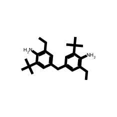 CCc1cc(Cc2cc(CC)c(N)c(C(C)(C)C)c2)cc(C(C)(C)C)c1N